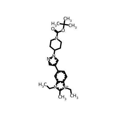 CCn1c(C)[n+](CC)c2ccc(-c3cnn(C4CCN(C(=O)OC(C)(C)C)CC4)c3)cc21